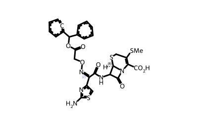 CSC1=C(C(=O)O)N2C(=O)C(NC(=O)/C(=N\OCC(=O)OC(c3ccccc3)c3ccccc3)c3csc(N)n3)[C@H]2SC1